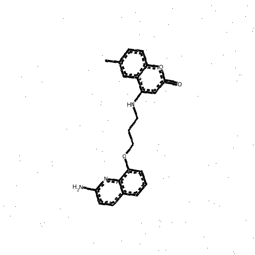 Cc1ccc2oc(=O)cc(NCCCOc3cccc4ccc(N)nc34)c2c1